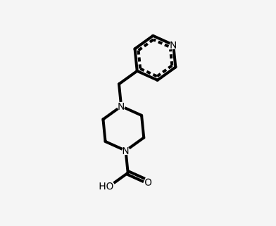 O=C(O)N1CCN(Cc2ccncc2)CC1